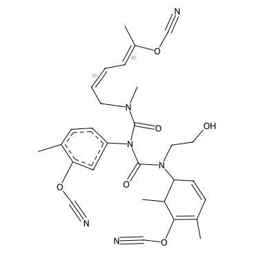 CC1=C(OC#N)C(C)C(N(CCO)C(=O)N(C(=O)N(C)C/C=C\C=C(/C)OC#N)c2ccc(C)c(OC#N)c2)C=C1